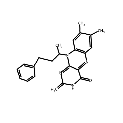 C=c1nc2c(c(=O)[nH]1)=Nc1cc(C)c(C)cc1N2C(C)CCc1ccccc1